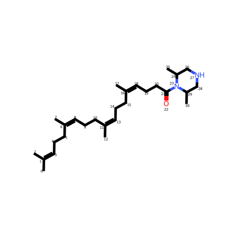 CC(C)=CCCC(C)=CCCC(C)=CCCC(C)=CCCC(=O)N1C(C)CNCC1C